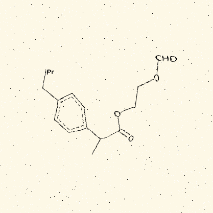 CC(C)Cc1ccc(C(C)C(=O)OCCOC=O)cc1